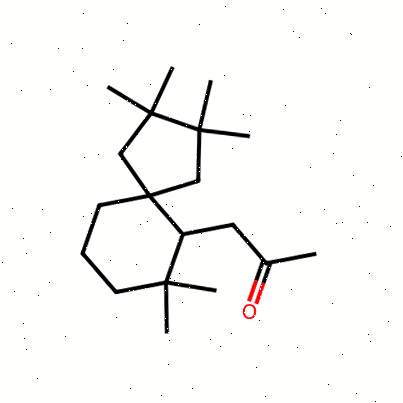 CC(=O)CC1C(C)(C)CCCC12CC(C)(C)C(C)(C)C2